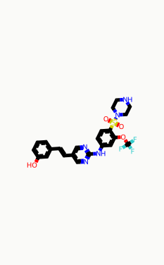 O=S(=O)(c1ccc(Nc2ncc(C=Cc3cccc(O)c3)cn2)cc1OC(F)(F)F)N1CCNCC1